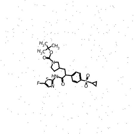 CC(C)(C)OC(=O)N1CCC(CC(C(=O)Nc2ncc(F)s2)c2ccc(S(=O)(=O)C3CC3)cc2)C1